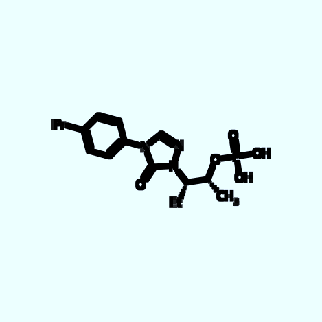 CC[C@@H]([C@@H](C)OP(=O)(O)O)n1ncn(-c2ccc(C(C)C)cc2)c1=O